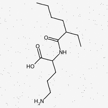 CCCCC(CC)C(=O)NC(CCCN)C(=O)O